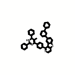 CC1=C(c2ccc(-c3nccc4sc5ccc(-c6cccc(-c7ccccc7)c6)cc5c34)cc2)N=C(c2ccccc2)NC1c1ccccc1